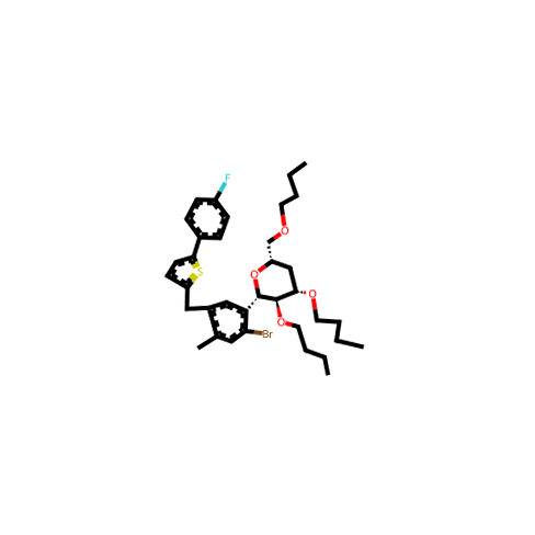 CCCCOC[C@@H]1C[C@H](OCCCC)[C@@H](OCCCC)[C@H](c2cc(Cc3ccc(-c4ccc(F)cc4)s3)c(C)cc2Br)O1